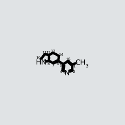 Cc1cncc(C2=CC3NCCC3CC2)c1